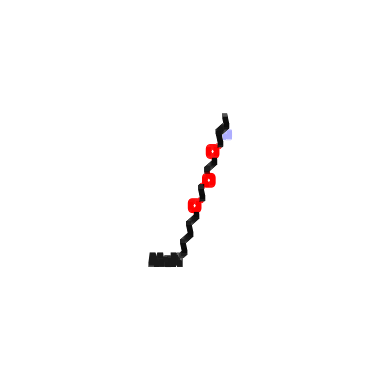 C/C=C/COCCOCCOCCCCCNC